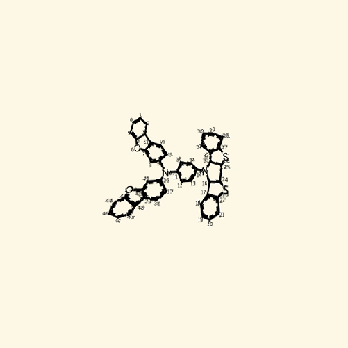 C1=CCC2C(=C1)Oc1cc(N(c3ccc(N4C5c6ccccc6SC5C5Sc6ccccc6C54)cc3)c3ccc4c(c3)oc3ccccc34)ccc12